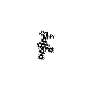 CCCc1nc2ccccc2n1-c1ccc(-c2c3ccccc3c(-c3ccc(-c4ccccc4)cc3)c3cc(-c4ccccc4)ccc23)cc1